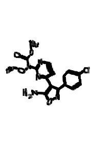 CC(C)(C)OC(=O)N(OC(C)(C)C)c1nccc(-c2c(-c3ccc(Cl)cc3)noc2N)n1